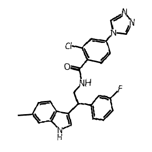 Cc1ccc2c(C(CNC(=O)c3ccc(-n4cnnc4)cc3Cl)c3cccc(F)c3)c[nH]c2c1